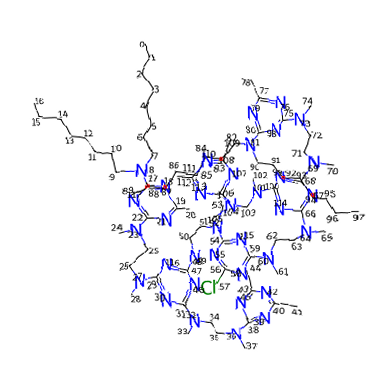 CCCCCCCCN(CCCCCCCC)c1nc(C)nc(N(C)CCN(C)c2nc(N(C)CCN(C)c3nc(C)nc(C)n3)nc(N(C)CCN(C)c3nc(Cl)nc(N(C)CCN(C)c4nc(N(C)CCN(C)c5nc(C)nc(N(CCCCCCCC)CCCCCCCC)n5)nc(N(C)CN(C)c5nc(C)nc(C)n5)n4)n3)n2)n1